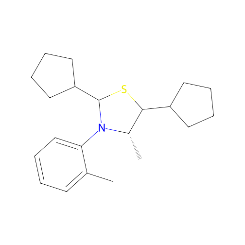 Cc1ccccc1N1C(C2CCCC2)SC(C2CCCC2)[C@@H]1C